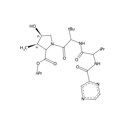 CCCOC(=O)C1[C@@H](C)[C@@H](O)CN1C(=O)C(NC(=O)C(NC(=O)c1cnccn1)C(C)C)C(C)(C)C